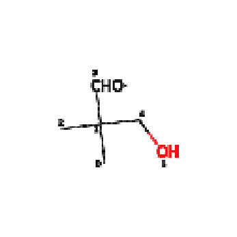 CC(C)([C]=O)CO